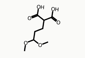 COC(CCC(C(=O)O)C(=O)O)OC